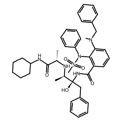 C[C@H](N[C@H](C)[C@@](O)(Cc1ccccc1)NC(=O)c1cccc(N(C)Cc2ccccc2)c1N(c1ccccc1)S(C)(=O)=O)C(=O)NC1CCCCC1